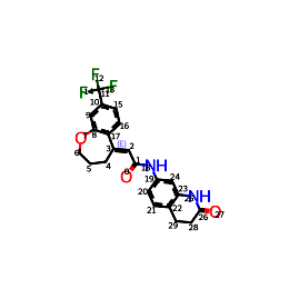 O=C(/C=C1\CCCOc2cc(C(F)(F)F)ccc21)Nc1ccc2c(c1)NC(=O)CC2